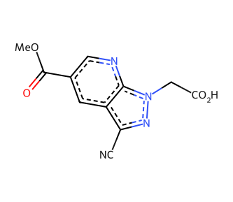 COC(=O)c1cnc2c(c1)c(C#N)nn2CC(=O)O